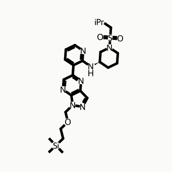 CC(C)CS(=O)(=O)N1CCC[C@H](Nc2ncccc2-c2cnc3c(cnn3COCC[Si](C)(C)C)n2)C1